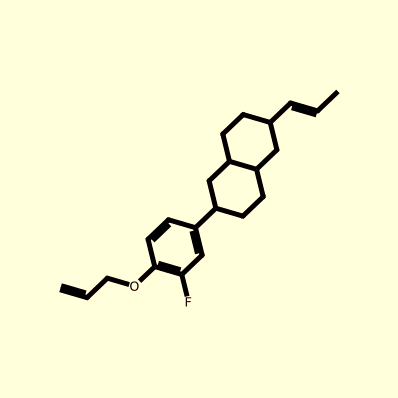 C=CCOc1ccc(C2CCC3CC(C=CC)CCC3C2)cc1F